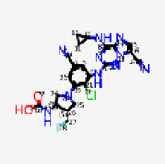 N#Cc1cc(Nc2nc(NC3CC3)c3ncc(C#N)n3n2)c(Cl)c(N2C[C@H](CF)[C@@H](NC(=O)O)C2)c1